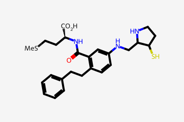 CSCC[C@H](NC(=O)c1cc(NCC2NCCC2S)ccc1CCc1ccccc1)C(=O)O